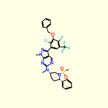 CN(c1ncc2c(-c3cc(C(F)(F)F)c(F)c(OCc4ccccc4)c3F)nn(C)c2n1)[C@H]1CC[C@@H](c2ccccc2)N(S(C)(=O)=O)C1